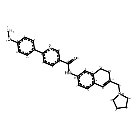 COc1ccc(-c2ccc(C(=O)Nc3ccc4c(c3)CCC(CN3CCCC3)=C4)cn2)cc1